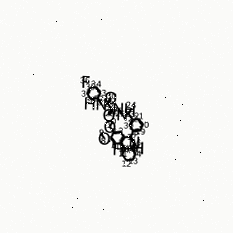 COc1cc2c(cc1OC)[C@H]1CCCC[C@H]1N=C2c1cccc(C(C)=NNC(=O)C(=O)Nc2ccc(F)cc2)c1